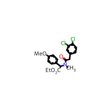 CCOC(=O)C(c1ccc(OC)cc1)N(C)C(=O)Cc1ccc(Cl)c(Cl)c1